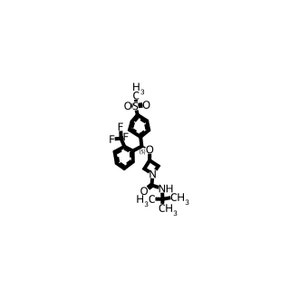 CC(C)(C)NC(=O)N1CC(O[C@@H](c2ccc(S(C)(=O)=O)cc2)c2ccccc2C(F)(F)F)C1